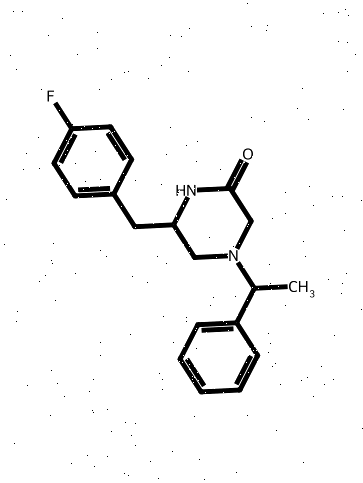 CC(c1ccccc1)N1CC(=O)NC(Cc2ccc(F)cc2)C1